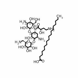 CCCCCCCCCCCCCCCCCC(=O)O.NCC[C@H](O)C(=O)N[C@@H]1C[C@H](N)[C@@H](O[C@H]2O[C@H](CN)[C@@H](O)[C@H](O)[C@H]2O)[C@H](O)[C@H]1O[C@H]1O[C@H](CO)[C@@H](O)[C@H](N)[C@H]1O